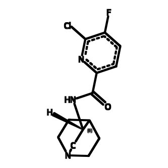 O=C(N[C@H]1CN2CCC1CC2)c1ccc(F)c(Cl)n1